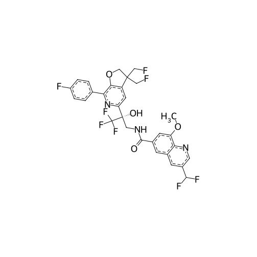 COc1cc(C(=O)NC[C@](O)(c2cc3c(c(-c4ccc(F)cc4)n2)OCC3(CF)CF)C(F)(F)F)cc2cc(C(F)F)cnc12